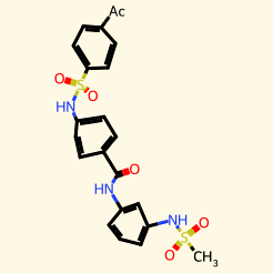 CC(=O)c1ccc(S(=O)(=O)Nc2ccc(C(=O)Nc3cccc(NS(C)(=O)=O)c3)cc2)cc1